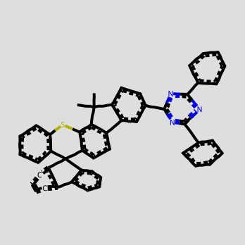 CC1(C)c2ccc(-c3nc(-c4ccccc4)nc(-c4ccccc4)n3)cc2-c2ccc3c(c21)Sc1ccccc1C31c2ccccc2-c2ccccc21